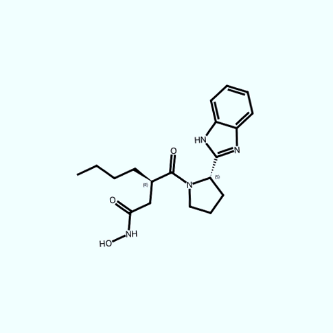 CCCC[C@H](CC(=O)NO)C(=O)N1CCC[C@H]1c1nc2ccccc2[nH]1